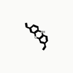 C=Cc1ccc2c(c1)Oc1cc(C=C)ccc1N2